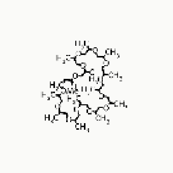 C=CC(=O)OCC(C)OCC(C)OCC(C)OCC(C)OCC(C)OCC(C)OCC(C)OCC(C)OCC(C)OCC(C)OCC(C)OCC(C)OC